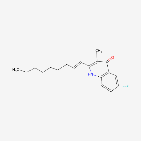 CCCCCCCC=Cc1[nH]c2ccc(F)cc2c(=O)c1C